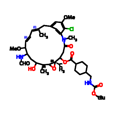 COc1cc2cc(c1Cl)N(C)C(=O)CC(OC(=O)C1CCC(CNC(=O)OC(C)(C)C)CC1)[C@@]1(C)OC1[C@H](C)C(O)CC(NC=O)C(OC)/C=C/C=C(\C)C2